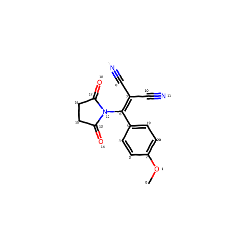 COc1ccc(C(=C(C#N)C#N)N2C(=O)CCC2=O)cc1